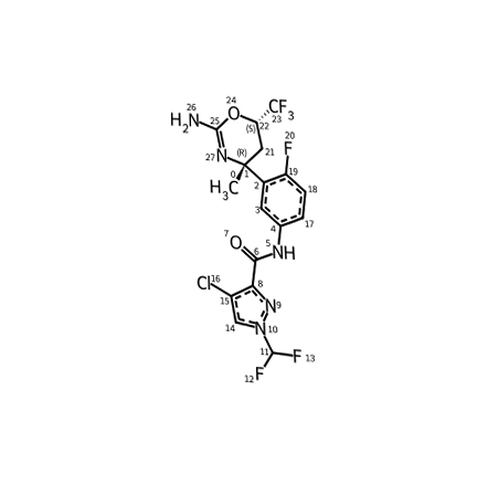 C[C@]1(c2cc(NC(=O)c3nn(C(F)F)cc3Cl)ccc2F)C[C@@H](C(F)(F)F)OC(N)=N1